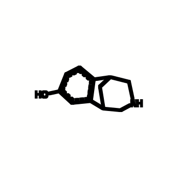 Oc1ccc2c(c1)C1CNCC2C1